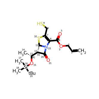 C=CCOC(=O)C1=C(CS)SC2[C@@H]([C@@H](C)O[Si](C)(C)C(C)(C)C)C(=O)N12